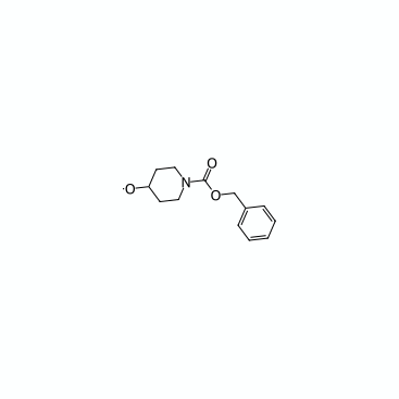 [O]C1CCN(C(=O)OCc2ccccc2)CC1